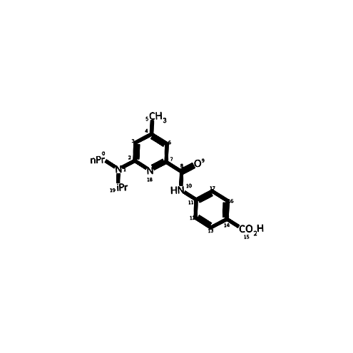 CCCN(c1cc(C)cc(C(=O)Nc2ccc(C(=O)O)cc2)n1)C(C)C